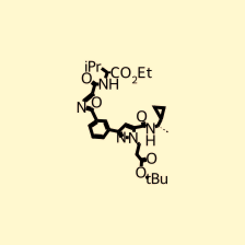 CCOC(=O)[C@@H](NC(=O)c1cnc(-c2cccc(-c3cc(C(=O)N[C@@H](C)C4CC4)n(CCC(=O)OC(C)(C)C)n3)c2)o1)C(C)C